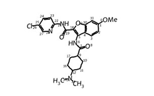 COc1ccc2c(NC(=O)C3CCC(N(C)C)CC3)c(C(=O)Nc3ccc(Cl)cn3)oc2c1